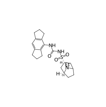 CCN1C2CC[C@H]1C[C@H](S(=O)(=O)NC(=O)Nc1c3c(cc4c1CCC4)CCC3)C2